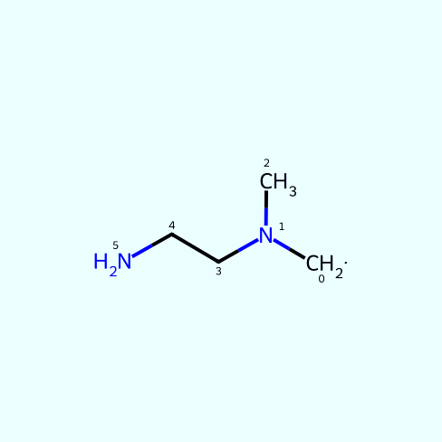 [CH2]N(C)CCN